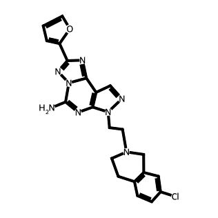 Nc1nc2c(cnn2CCN2CCc3ccc(Cl)cc3C2)c2nc(-c3ccco3)nn12